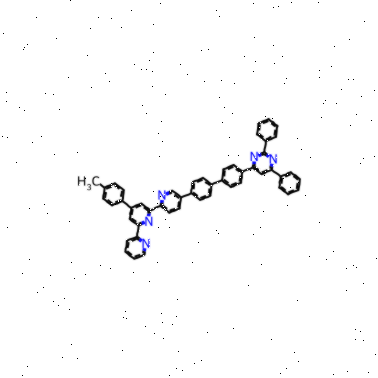 Cc1ccc(-c2cc(-c3ccccn3)nc(-c3ccc(-c4ccc(-c5ccc(-c6cc(-c7ccccc7)nc(-c7ccccc7)n6)cc5)cc4)cn3)c2)cc1